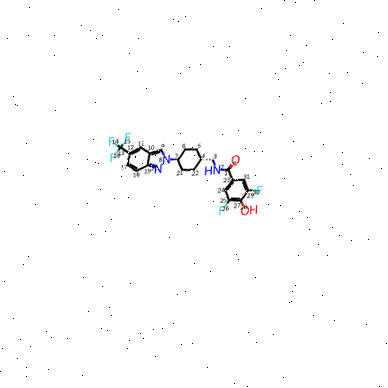 O=C(NC[C@H]1CC[C@H](n2cc3cc(C(F)(F)F)ccc3n2)CC1)c1cc(F)c(O)c(F)c1